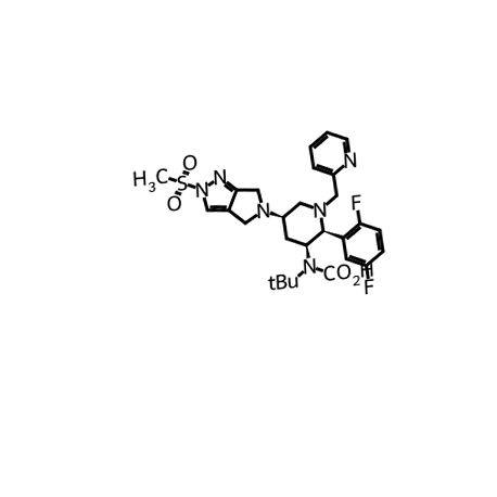 CC(C)(C)N(C(=O)O)[C@H]1C[C@@H](N2Cc3cn(S(C)(=O)=O)nc3C2)CN(Cc2ccccn2)[C@H]1c1cc(F)ccc1F